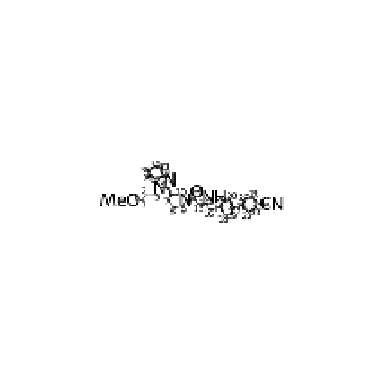 COCCCn1c(C2CCCN(C(=O)CC(N)Cc3ccc(-c4ccc(C#N)cc4)cc3)C2)nc2ccccc21